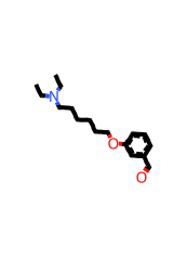 CCN(CC)CCCCCCOc1cccc(C=O)c1